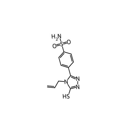 C=CCn1c(S)nnc1-c1ccc(S(N)(=O)=O)cc1